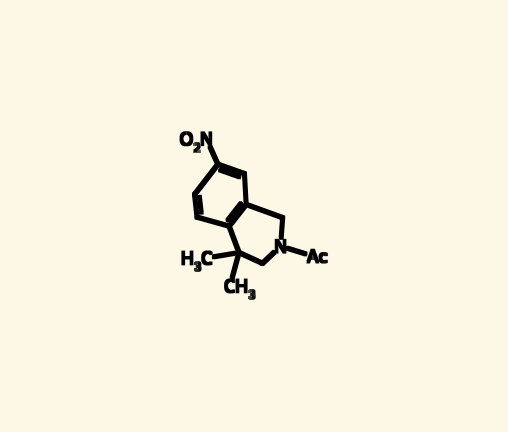 CC(=O)N1Cc2cc([N+](=O)[O-])ccc2C(C)(C)C1